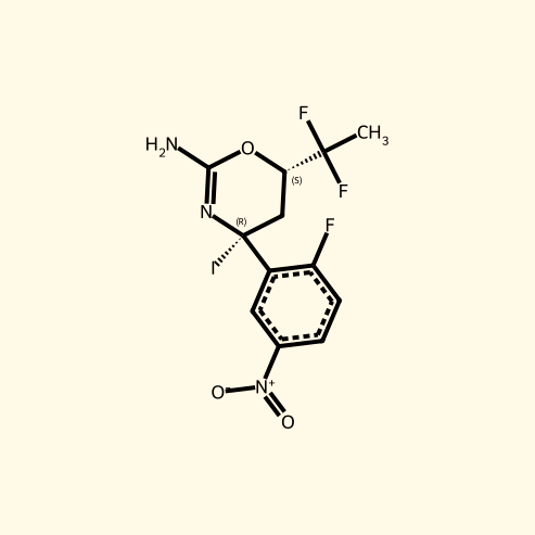 CC(F)(F)[C@@H]1C[C@@](I)(c2cc([N+](=O)[O-])ccc2F)N=C(N)O1